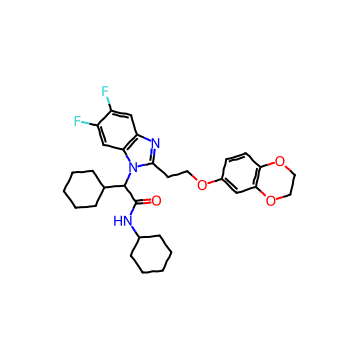 O=C(NC1CCCCC1)C(C1CCCCC1)n1c(CCOc2ccc3c(c2)OCCO3)nc2cc(F)c(F)cc21